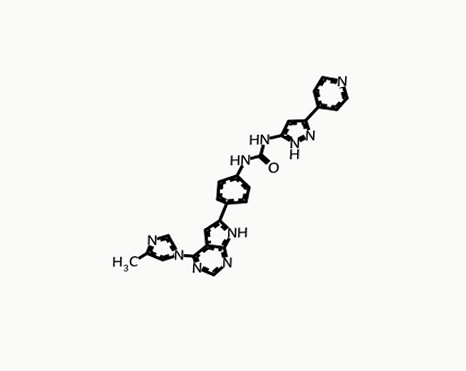 Cc1cn(-c2ncnc3[nH]c(-c4ccc(NC(=O)Nc5cc(-c6ccncc6)n[nH]5)cc4)cc23)cn1